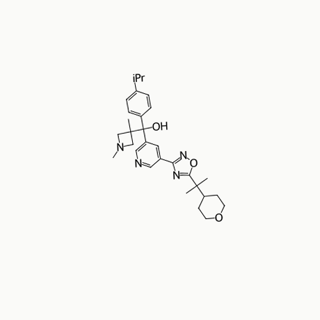 CC(C)c1ccc(C(O)(c2cncc(-c3noc(C(C)(C)C4CCOCC4)n3)c2)C2(C)CN(C)C2)cc1